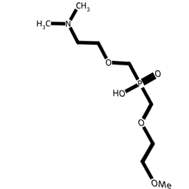 COCCOCP(=O)(O)COCCN(C)C